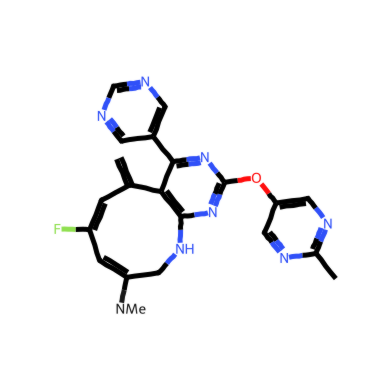 C=C1/C=C(F)\C=C(\NC)CNc2nc(Oc3cnc(C)nc3)nc(-c3cncnc3)c21